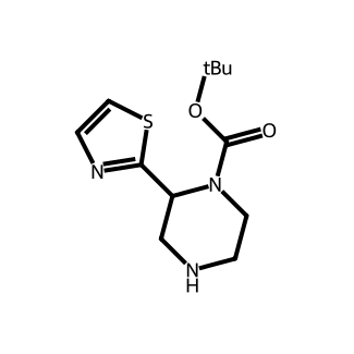 CC(C)(C)OC(=O)N1CCNCC1c1nccs1